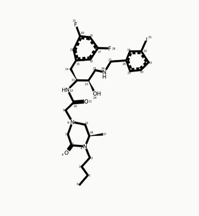 CCCCN1C(=O)CN(CC(=O)N[C@@H](Cc2cc(F)cc(F)c2)[C@H](O)CNCc2cccc(I)c2)C[C@H]1C